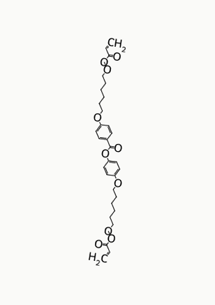 C=CC(=O)OOCCCCCCOc1ccc(OC(=O)c2ccc(OCCCCCCOOC(=O)C=C)cc2)cc1